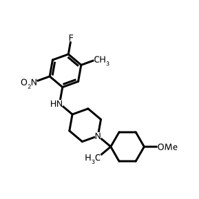 COC1CCC(C)(N2CCC(Nc3cc(C)c(F)cc3[N+](=O)[O-])CC2)CC1